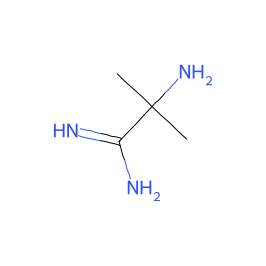 CC(C)(N)C(=N)N